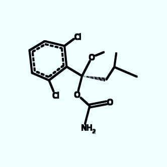 CO[C@@](CC(C)C)(OC(N)=O)c1c(Cl)cccc1Cl